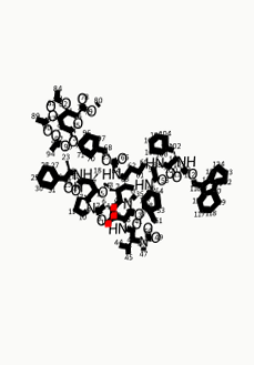 CC[C@H](C)[C@@H]([C@@H](CC(=O)N1CCC[C@H]1[C@H](OC)[C@@H](C)C(=O)N[C@H](C)[C@@H](O)c1ccccc1)OC)N(C)C(=O)[C@@H](NC(=O)[C@H](C(C)C)N(C)C(=O)OCc1ccc(NC(=O)[C@H](CCCCNC(=O)OCc2ccc(O[C@@H]3O[C@H](C(=O)OC)[C@@H](OC(C)=O)[C@H](OC(C)=O)[C@H]3OC(C)=O)cc2)NC(=O)[C@H](Cc2ccccc2)NC(=O)OCC2c3ccccc3-c3ccccc32)cc1)C(C)C